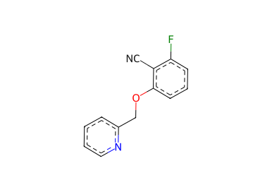 N#Cc1c(F)cccc1OCc1ccccn1